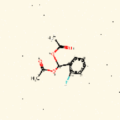 CC(=O)OC(OC(C)=O)c1ccccc1F